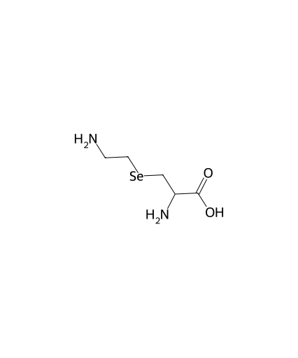 NCC[Se]CC(N)C(=O)O